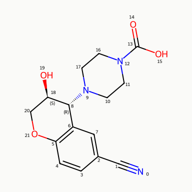 N#Cc1ccc2c(c1)[C@@H](N1CCN(C(=O)O)CC1)[C@H](O)CO2